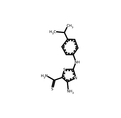 CC(C)c1ccc(Nc2nc(N)c(C(N)=S)s2)cc1